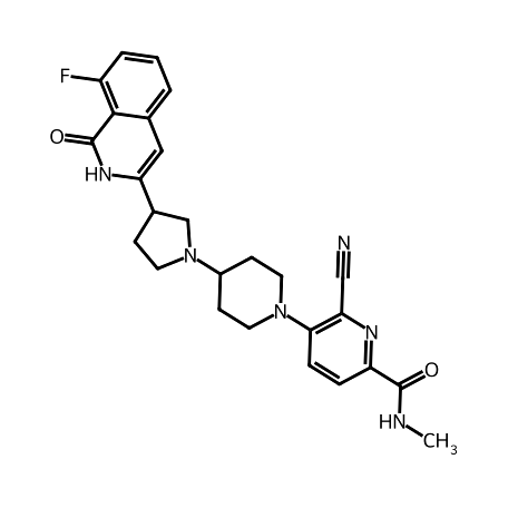 CNC(=O)c1ccc(N2CCC(N3CCC(c4cc5cccc(F)c5c(=O)[nH]4)C3)CC2)c(C#N)n1